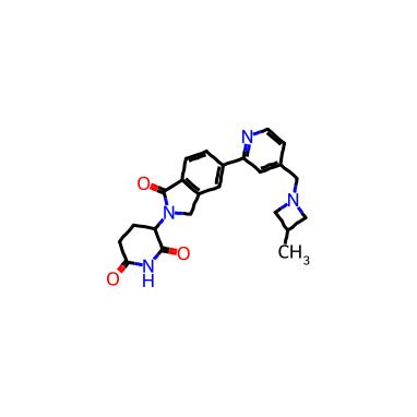 CC1CN(Cc2ccnc(-c3ccc4c(c3)CN(C3CCC(=O)NC3=O)C4=O)c2)C1